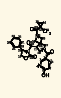 O=C(c1cnc(O)cn1)N1C[C@@H](C(=O)N2C(=O)OC[C@H]2c2ccccc2)C2(C1)CN(C(=O)C1(C(F)(F)F)CC1)C2